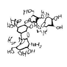 NC[C@@H]1O[C@H](O[C@H]2[C@@H](O)[C@H](O[C@@H]3[C@@H](O)[C@H](N(O)O)C[C@H](N)[C@H]3O[C@H]3O[C@H](CO)[C@@H](O)[C@H](O)[C@H]3N)O[C@@H]2CO)[C@H](N)[C@@H](O)[C@@H]1O